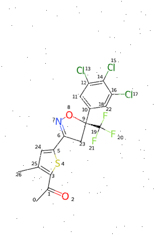 CC(=O)c1sc(C2=NO[C@@](c3cc(Cl)c(Cl)c(Cl)c3)(C(F)(F)F)C2)cc1C